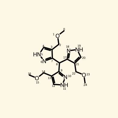 COCc1c[nH]nc1C(c1n[nH]cc1COC)c1n[nH]cc1COC